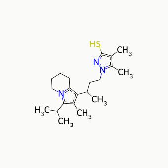 Cc1c(S)nn(CCC(C)c2c(C)c(C(C)C)n3c2CCCC3)c1C